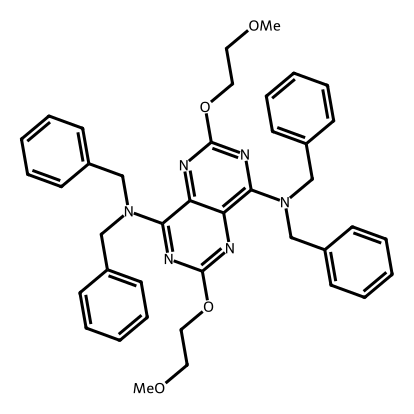 COCCOc1nc(N(Cc2ccccc2)Cc2ccccc2)c2nc(OCCOC)nc(N(Cc3ccccc3)Cc3ccccc3)c2n1